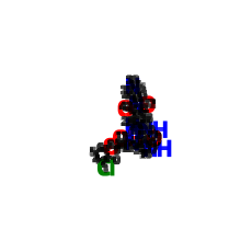 Cc1c(Cl)cccc1OC[C@H](O)CNc1cc[nH]c(=O)c1-c1nc2c(C)c3c(cc2[nH]1)C(=O)N(C1CCN(C)CC1)C3=O